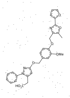 COc1cc(COc2cc(CC(=O)O)n(-c3ccccc3)n2)ccc1OCc1nc(-c2ccco2)oc1C